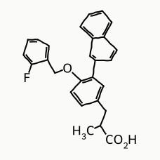 CC(Cc1ccc(OCc2ccccc2F)c(-c2ccc3ccccc3c2)c1)C(=O)O